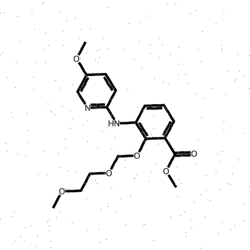 COCCOCOc1c(Nc2ccc(OC)cn2)cccc1C(=O)OC